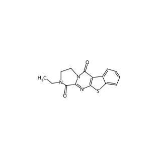 CCN1CCn2c(nc3sc4ccccc4c3c2=O)C1=O